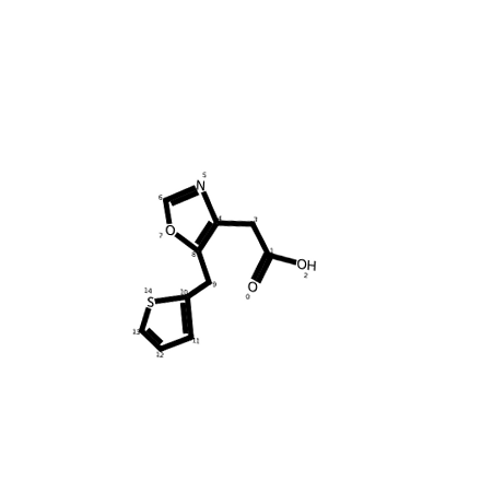 O=C(O)Cc1ncoc1Cc1cccs1